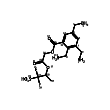 BCc1cc(CB)c(CB)c(C(=O)OCC(=O)OC(C)C(F)(F)S(=O)(=O)O)c1